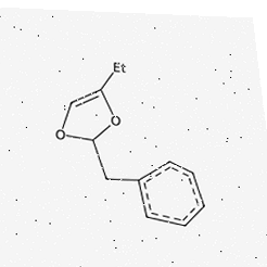 CCC1=COC(Cc2ccccc2)O1